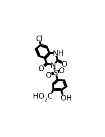 O=C(O)c1cc(S(=O)(=O)n2c(=O)[nH]c3cc(Cl)ccc3c2=O)ccc1O